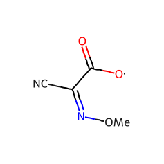 CO/N=C(/C#N)C([O])=O